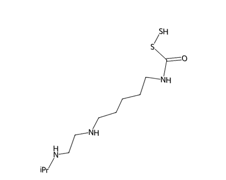 CC(C)NCCNCCCCCNC(=O)SS